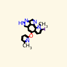 Cc1cccc(Oc2cc3c4c(cnc-4c4c2=CC=C(I)N4C)=NNC3)n1